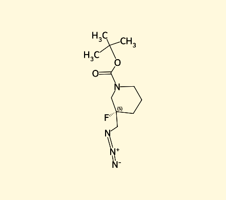 CC(C)(C)OC(=O)N1CCC[C@@](F)(CN=[N+]=[N-])C1